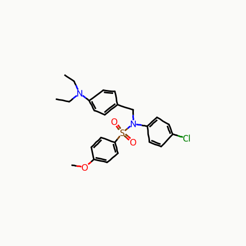 CCN(CC)c1ccc(CN(c2ccc(Cl)cc2)S(=O)(=O)c2ccc(OC)cc2)cc1